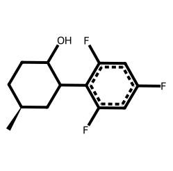 C[C@H]1CCC(O)C(c2c(F)cc(F)cc2F)C1